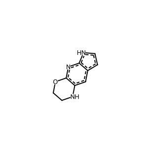 c1cc2cc3c(nc2[nH]1)OCCN3